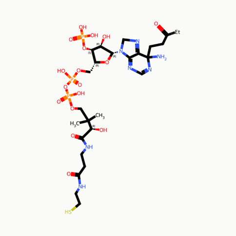 CCC(=O)CCC1(N)N=CN=C2C1=NCN2[C@@H]1O[C@H](COP(=O)(O)OP(=O)(O)OCC(C)(C)[C@@H](O)C(=O)NCCC(=O)NCCS)[C@@H](OP(=O)(O)O)[C@H]1O